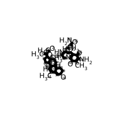 CC(=O)O[C@]1(C(C)=O)CC[C@H]2[C@@H]3C=C(C)C4=CC(=O)CC[C@]4(C)[C@H]3CC[C@@]21C.CO[C@@]12[C@H](COC(N)=O)C3=C(C(=O)C(C)=C(N)C3=O)N1C[C@@H]1N[C@@H]12